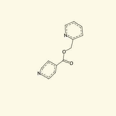 O=C(OCc1ccccn1)c1ccncc1